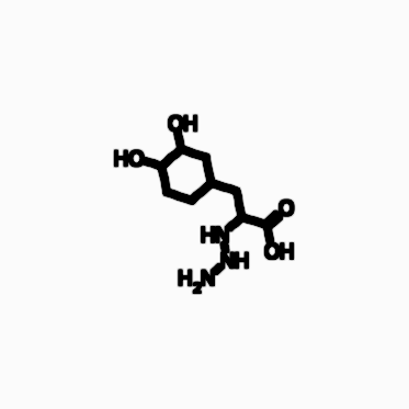 NNNC(CC1CCC(O)C(O)C1)C(=O)O